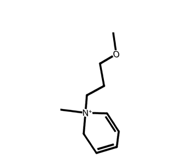 COCCC[N+]1(C)C=CC=CC1